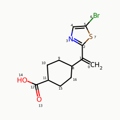 C=C(c1ncc(Br)s1)C1CCC(C(=O)O)CC1